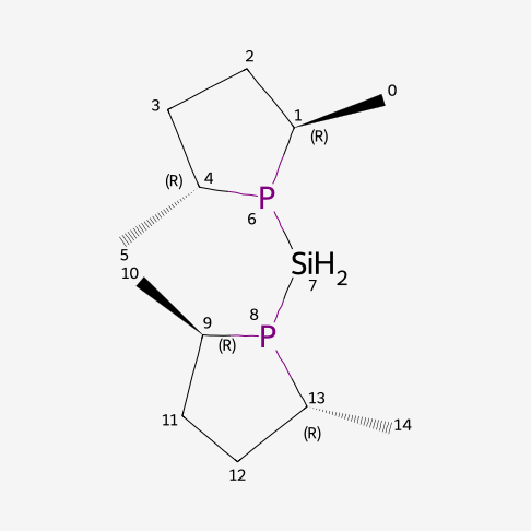 C[C@@H]1CC[C@@H](C)P1[SiH2]P1[C@H](C)CC[C@H]1C